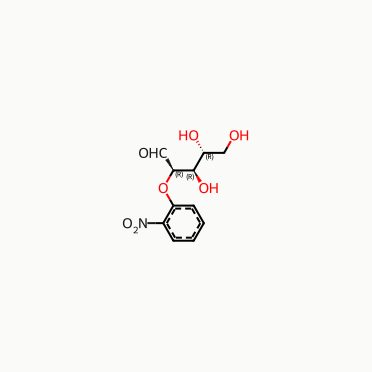 O=C[C@H](Oc1ccccc1[N+](=O)[O-])[C@H](O)[C@H](O)CO